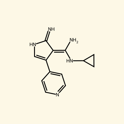 N=C1NC=C(c2ccncc2)/C1=C(/N)NC1CC1